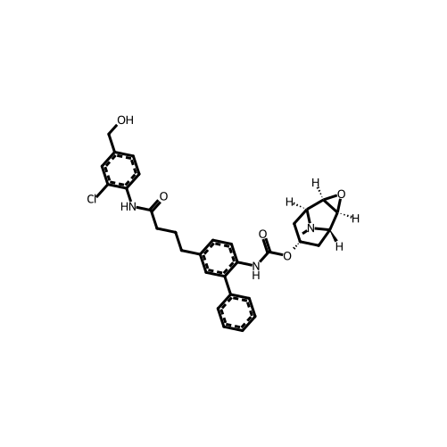 CN1[C@H]2C[C@H](OC(=O)Nc3ccc(CCCC(=O)Nc4ccc(CO)cc4Cl)cc3-c3ccccc3)C[C@H]1[C@H]1O[C@H]12